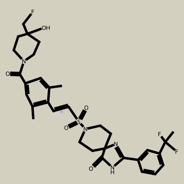 Cc1cc(C(=O)N2CCC(O)(CF)CC2)cc(C)c1/C=C/S(=O)(=O)N1CCC2(CC1)N=C(c1cccc(C(C)(F)F)c1)NC2=O